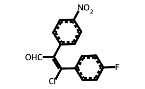 O=CC(=C(Cl)c1ccc(F)cc1)c1ccc([N+](=O)[O-])cc1